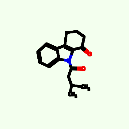 CC(C)CC(=O)n1c2c(c3ccccc31)CCCC2=O